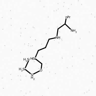 CCCC(N)CNCCC[SiH]1CO[SiH2][SiH2][SiH2]1